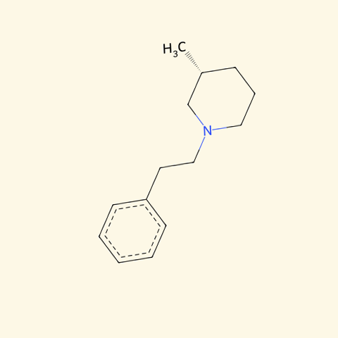 C[C@@H]1CCCN(CCc2ccccc2)C1